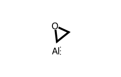 C1CO1.[Al]